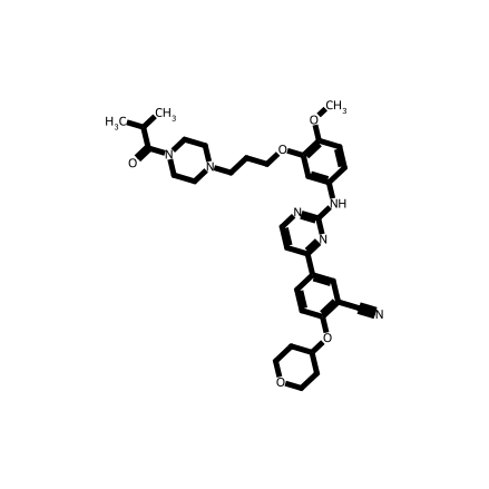 COc1ccc(Nc2nccc(-c3ccc(OC4CCOCC4)c(C#N)c3)n2)cc1OCCCN1CCN(C(=O)C(C)C)CC1